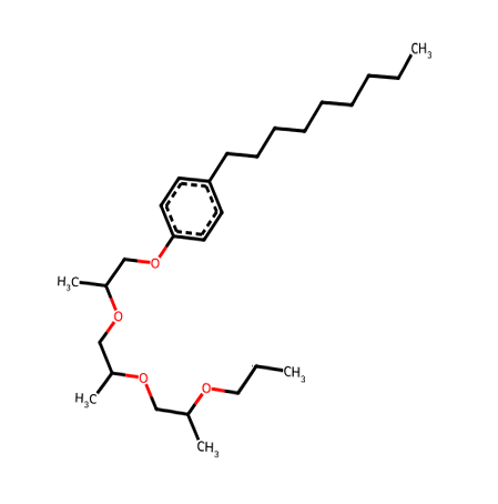 C[CH]COC(C)COC(C)COC(C)COc1ccc(CCCCCCCCC)cc1